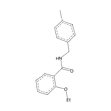 CCOc1ccccc1C(=O)NCc1ccc(C)cc1